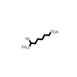 CCOC(=O)CCCCCC(O)C(=O)OCC